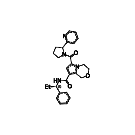 CC[C@@H](NC(=O)c1cc(C(=O)N2CCCC2c2ccccn2)n2c1COCC2)c1ccccc1